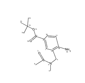 CC(=O)N(C)Cc1cc(C(=O)OC(C)(C)C)ccc1N